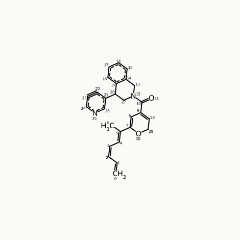 C=C/C=C\C=C(/C)C1=CC(C(=O)N2Cc3ccccc3C(c3c#ccnc3)C2)=CCO1